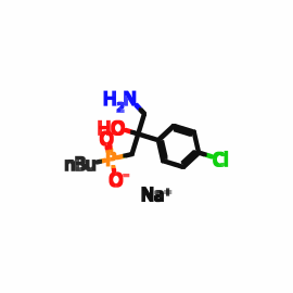 CCCCP(=O)([O-])CC(O)(CN)c1ccc(Cl)cc1.[Na+]